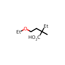 CCOCCC(C)(CC)C(=O)O